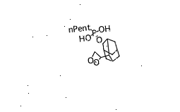 C1C2CC3CC1CC(C2)C3C1COO1.CCCCCP(=O)(O)O